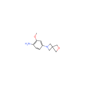 COc1cc(N2CC3(COC3)C2)ccc1N